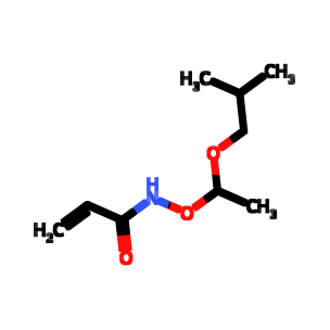 C=CC(=O)NOC(C)OCC(C)C